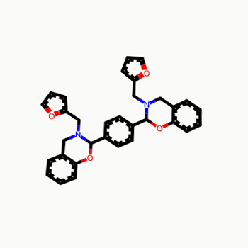 c1coc(CN2Cc3ccccc3OC2c2ccc(C3Oc4ccccc4CN3Cc3ccco3)cc2)c1